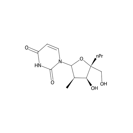 CCC[C@]1(CO)OC(n2ccc(=O)[nH]c2=O)[C@H](C)[C@@H]1O